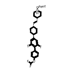 CCCCC[Si@H]1CC[C@H](CC[C@H]2CC[C@H](c3cc(F)c(-c4ccc(OC(F)F)cc4)c(F)c3)CC2)CC1